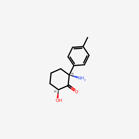 Cc1ccc([C@@]2(N)CCC[C@H](O)C2=O)cc1